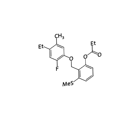 CCC(=O)Oc1cccc(SC)c1COc1cc(C)c(CC)cc1F